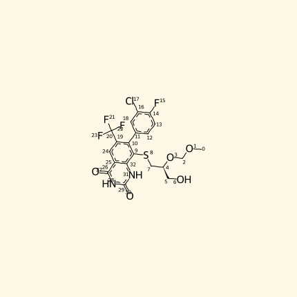 COCO[C@@H](CO)CSc1c(-c2ccc(F)c(Cl)c2)c(C(F)(F)F)cc2c(=O)[nH]c(=O)[nH]c12